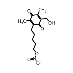 CC1=C(CO)C(=O)C(CCCCCO[N+](=O)[O-])=C(C)C1=O